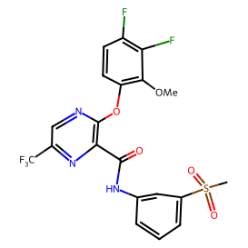 COc1c(Oc2ncc(C(F)(F)F)nc2C(=O)Nc2cccc(S(C)(=O)=O)c2)ccc(F)c1F